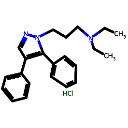 CCN(CC)CCCn1ncc(-c2ccccc2)c1-c1ccccc1.Cl